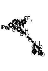 CC(C)N(C)[C@@H]1CC[C@H](N2CC[C@H](Nc3ncnc4ccc(C(F)(F)F)cc34)C2=O)[C@H](NC(=O)[C@H]2CC[C@@H](NC(=O)CCOCCOCCNC(=O)CNC(=O)[C@H]3CC(=O)N(C)[C@@H]3c3cccnc3)CC2)C1